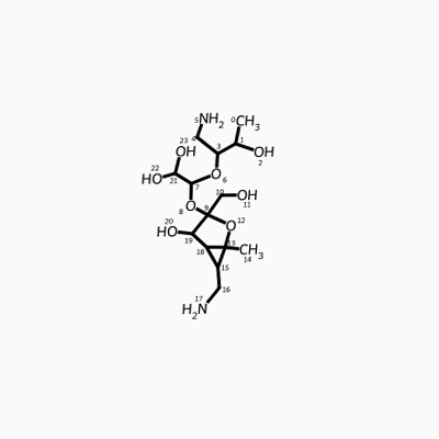 CC(O)C(CN)OC(OC1(CO)OC2(C)C(CN)C2C1O)C(O)O